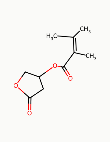 CC(C)=C(C)C(=O)OC1COC(=O)C1